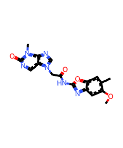 COc1cc2nc(NC(=O)Cn3cnc4c3cnc(=O)n4C)oc2cc1C